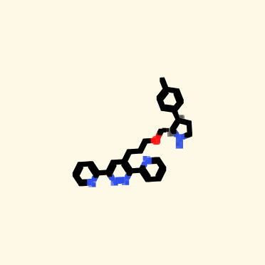 Cc1ccc([C@H]2CCN[C@@H]2COCCCc2cc(-c3ccccn3)nnc2-c2ccccn2)cc1